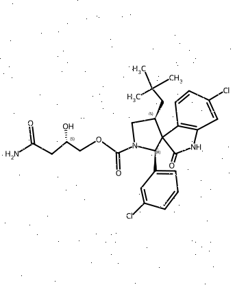 CC(C)(C)C[C@@H]1CN(C(=O)OC[C@@H](O)CC(N)=O)[C@H](c2cccc(Cl)c2)C12C(=O)Nc1cc(Cl)ccc12